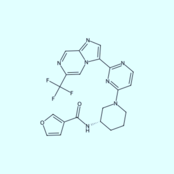 O=C(N[C@H]1CCCN(c2ccnc(-c3cnc4cnc(C(F)(F)F)cn34)n2)C1)c1ccoc1